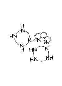 c1cc2ccc3ccc(CN4CCCNCCNCCCNCC4)nc3c2nc1CN1CCCNCCNCCCNCC1